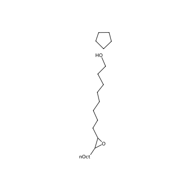 C1CCCC1.CCCCCCCCC1OC1CCCCCCCCO